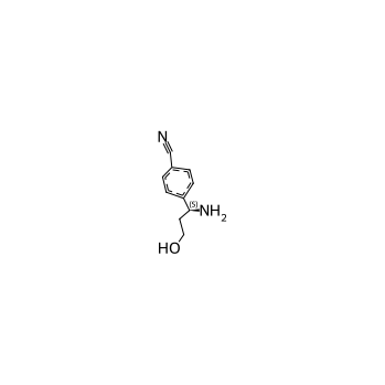 N#Cc1ccc([C@@H](N)CCO)cc1